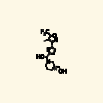 Cc1c(-c2ccc(C(O)N3CCC[C@H](CO)C3)s2)noc1C(F)(F)F